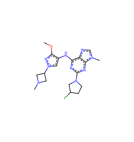 COc1nn(C2CN(C)C2)cc1Nc1nc(N2CCC(F)C2)nc2c1ncn2C